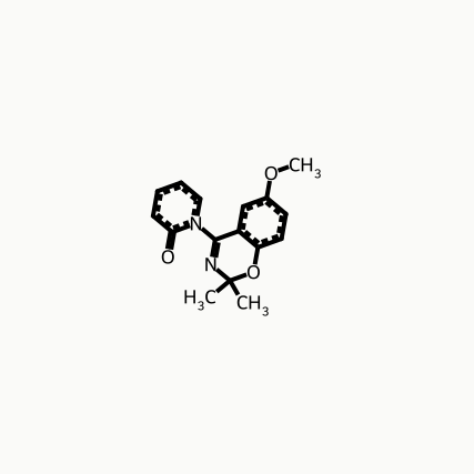 COc1ccc2c(c1)C(n1ccccc1=O)=NC(C)(C)O2